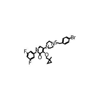 CC1(COc2c(N3CCN(SCc4ccc(Br)cc4)CC3)cnn(-c3cc(F)cc(F)c3)c2=O)CC1